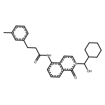 Cc1cccc(CCC(=O)Nc2cccc3c(=O)n(C(O)C4CCCCC4)ccc23)c1